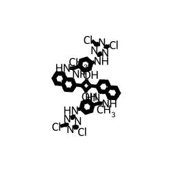 CC1(c2ccc(Nc3nc(Cl)nc(Cl)n3)cc2)Nc2cccc3ccc(C4C(O)C(c5ccc6cccc7c6c5NC(C)(c5ccc(Nc6nc(Cl)nc(Cl)n6)cc5)N7)C4O)c(c23)N1